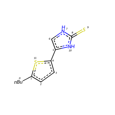 CCCCc1ccc(-c2c[nH]c(=S)[nH]2)s1